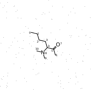 CCCCC(C(C)=O)N(C)C